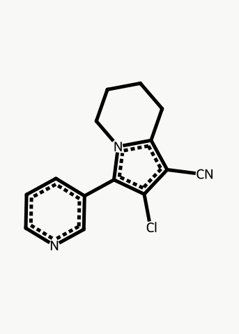 N#Cc1c(Cl)c(-c2cccnc2)n2c1CCCC2